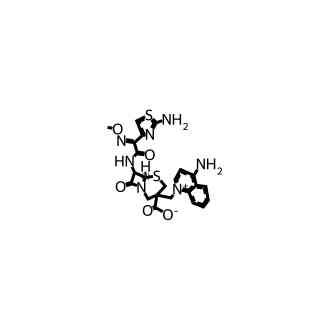 CON=C(C(=O)NC1C(=O)N2CC(C[n+]3ccc(N)c4ccccc43)(C(=O)[O-])CS[C@H]12)c1csc(N)n1